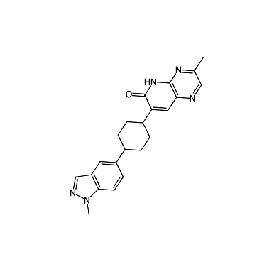 Cc1cnc2cc(C3CCC(c4ccc5c(cnn5C)c4)CC3)c(=O)[nH]c2n1